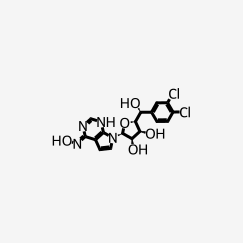 O/N=c1\nc[nH]c2c1ccn2[C@@H]1O[C@H]([C@H](O)c2ccc(Cl)c(Cl)c2)[C@@H](O)[C@H]1O